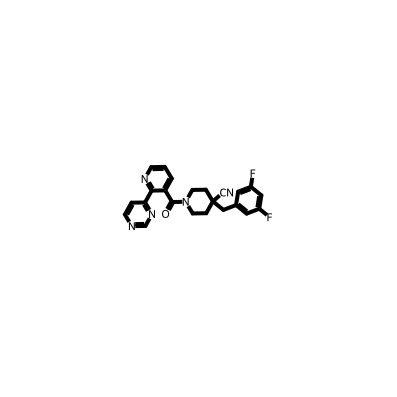 N#CC1(Cc2cc(F)cc(F)c2)CCN(C(=O)c2cccnc2-c2ccncn2)CC1